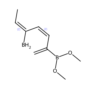 BC(/C=C\C(=C)B(OC)OC)=C/C